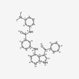 CN(C)c1cccc(NC(=O)c2cccc(Nc3ncnc4[nH]cc(C(=O)c5ccccc5)c34)c2)c1